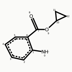 [NH]c1ccccc1C(=O)OC1CC1